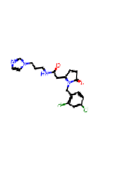 O=C(CC1CCC(=O)N1Cc1ccc(Cl)cc1Cl)NCCCn1ccnc1